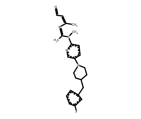 CC(=C/C=O)/N=C(/C)N(C)c1ccc(N2CCC(Cc3cccc(F)c3)CC2)cn1